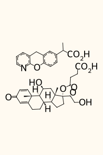 CC(C(=O)O)c1ccc2c(c1)Cc1cccnc1O2.C[C@]12C=CC(=O)C=C1CC[C@@H]1[C@@H]2[C@@H](O)C[C@@]2(C)[C@H]1CC[C@]2(OC(=O)CCC(=O)O)C(=O)CO